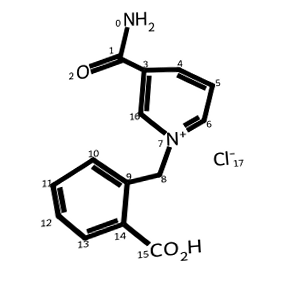 NC(=O)c1ccc[n+](Cc2ccccc2C(=O)O)c1.[Cl-]